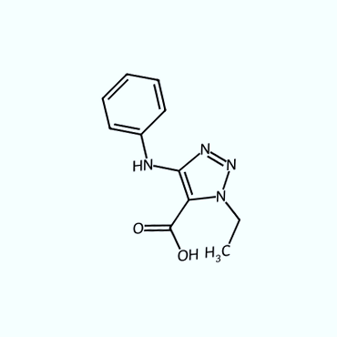 CCn1nnc(Nc2ccccc2)c1C(=O)O